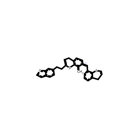 C=c1c2c(cc/c1=C/c1cccc3c1SC=CC3)CC=C(CCc1ccc3ccsc3c1)S2